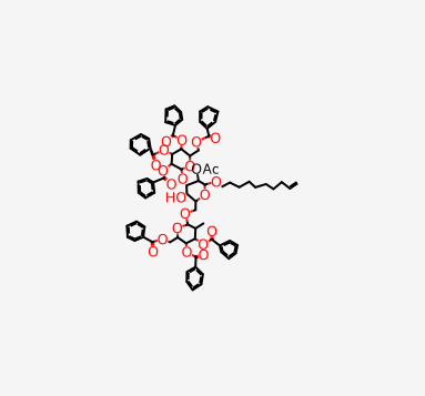 C=CCCCCCCCCOC1OC(COC2OC(COC(=O)c3ccccc3)C(OC(=O)c3ccccc3)C(OC(=O)c3ccccc3)C2C)C(O)C(OC2OC(COC(=O)c3ccccc3)C(OC(=O)c3ccccc3)C(OC(=O)c3ccccc3)C2OC(=O)c2ccccc2)C1OC(C)=O